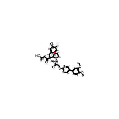 COc1ccc(-c2cnc(SCC(=O)NC[C@@](Cc3ccc(Cl)c(Cl)c3)(C(=O)CC(=O)O)C3CCCN3)nc2)cc1OC